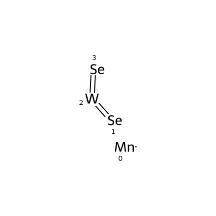 [Mn].[Se]=[W]=[Se]